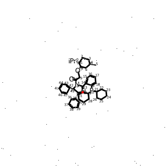 CC(C)[C@@H]1CC[C@@H](C)C[C@H]1OCC(=O)N1C(c2ccccc2P(C2CCCCC2)C2CCCCC2)=N[C@H](c2ccccc2)[C@H]1c1ccccc1